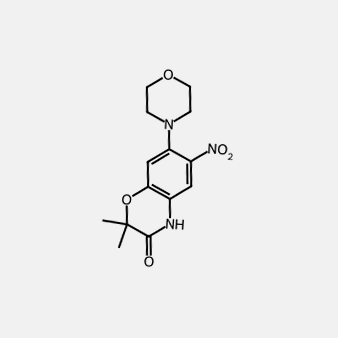 CC1(C)Oc2cc(N3CCOCC3)c([N+](=O)[O-])cc2NC1=O